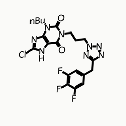 CCCCn1c(=O)n(CCCn2nnc(Cc3cc(F)c(F)c(F)c3)n2)c(=O)c2[nH]c(Cl)nc21